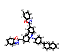 Cc1ccc2oc(-c3ccc4c(c3)c3cc(-c5nc6ccc(C)cc6o5)ccc3n4-c3ccc(-c4ccc5ccccc5c4)cc3)nc2c1